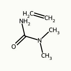 C=C.CN(C)C(N)=O